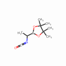 CC(N=C=O)B1OC(C)(C)C(C)(C)O1